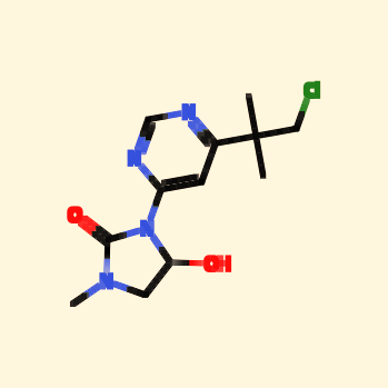 CN1CC(O)N(c2cc(C(C)(C)CCl)ncn2)C1=O